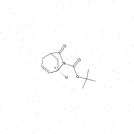 CC(C)(C)OC(=O)N1C(=O)C2CC=C[C@H]1C2